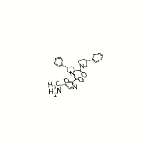 CC(N)c1cnc(C(=O)N2CC(c3ccccc3)CC2C(=O)N2CCC(c3ccccc3)C2)o1